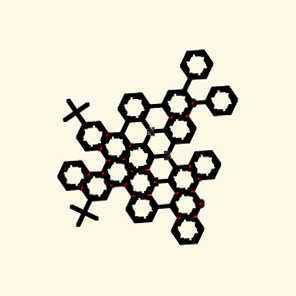 CC(C)(C)c1ccc(N(c2ccc(C(C)(C)C)cc2)c2cc3c4c(c2)N(c2c(-c5cccc(-c6ccccc6)c5)cccc2-c2cccc(-c5ccccc5)c2)c2cc(Oc5ccccc5)ccc2B4c2ccc(Oc4ccccc4)cc2N3c2c(-c3cccc(-c4ccccc4)c3)cccc2-c2cccc(-c3ccccc3)c2)cc1